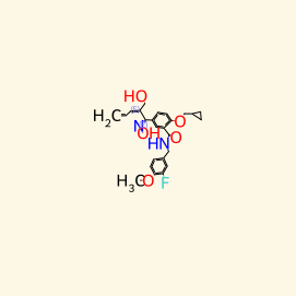 C=C/C=C(CO)\C(=N\O)c1ccc(OCC2CC2)c(C(=O)NCc2ccc(OC)c(F)c2)c1